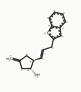 C=C1C[C@@H](O)[C@H](/C=C/Cc2cc3ccccc3s2)C1